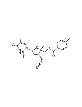 Cc1ccc(C(=O)OC[C@@]2(C)O[C@@H](n3cc(C)c(=O)[nH]c3=O)C[C@@H]2N=[N+]=[N-])cc1